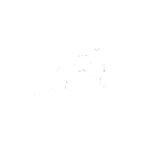 C=C(C)C(=O)OC.C=C(C=CC(=O)O)C(=O)OCCCC.C=Cc1ccccc1